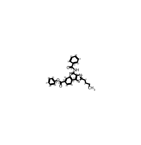 CCCCc1nc2c(NC(=O)c3ccccc3)nc3cc(C(=O)Oc4ccccc4)ccc3c2s1